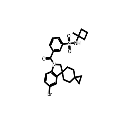 CC1(NS(=O)(=O)c2cccc(C(=O)N3CC4(CCC5(CC5)CC4)c4cc(Br)ccc43)c2)CCC1